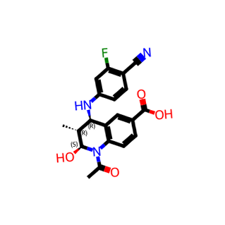 CC(=O)N1c2ccc(C(=O)O)cc2[C@H](Nc2ccc(C#N)c(F)c2)[C@@H](C)[C@@H]1O